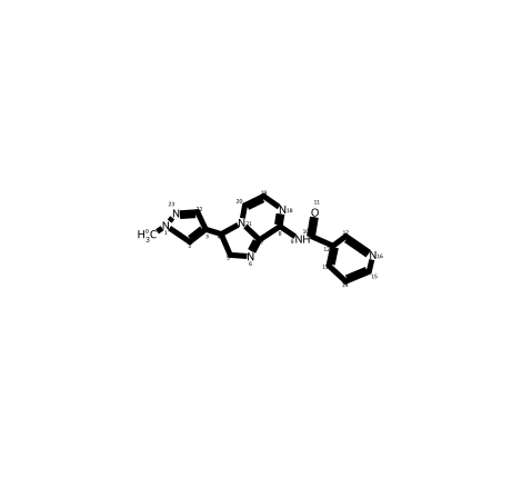 Cn1cc(C2CN=C3C(NC(=O)c4cccnc4)=NC=CN32)cn1